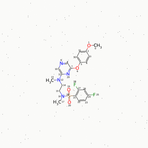 COc1ccc(Oc2cncc(N(C)CCN(C)S(=O)(=O)c3ccc(F)cc3F)n2)cc1